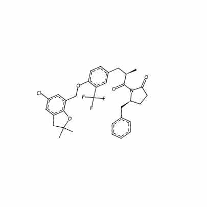 C[C@H](Cc1ccc(OCc2cc(Cl)cc3c2OC(C)(C)C3)c(C(F)(F)F)c1)C(=O)N1C(=O)CC[C@H]1Cc1ccccc1